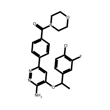 CC(Oc1cc(-c2ccc(C(=O)N3CCOCC3)cc2)nnc1N)c1ccc(Cl)c(F)c1